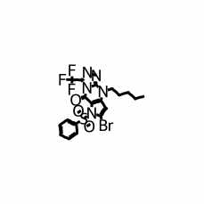 CCCCCn1c2cc(Br)n(S(=O)(=O)c3ccccc3)c2c(=O)n2c(C(F)(F)F)nnc12